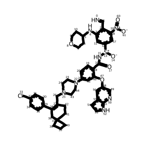 N=Cc1c(NC2CCOCC2)cc([S+]([O-])NC(=O)c2ccc(N3CCN(CC4=C(c5ccc(Cl)cc5)CC5(CCC5)CC4)CC3)cc2Oc2cnc3[nH]ccc3c2)cc1[N+](=O)[O-]